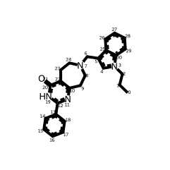 CCCn1cc(CN2CCc3nc(-c4ccccc4)[nH]c(=O)c3CC2)c2ccccc21